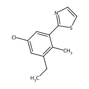 CCc1cc(Cl)cc(-c2nccs2)c1C